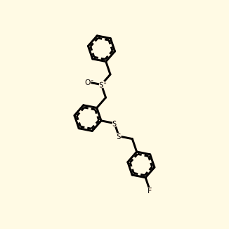 [O-][S+](Cc1ccccc1)Cc1ccccc1SSCc1ccc(F)cc1